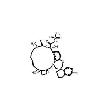 CN1CCC/C=C/[C@H](O)[C@@H]2CC[C@H]2CN2C[C@@]3(CCCc4cc(Cl)ccc43)COc3ccc(cc32)[C@](O)(C(=O)NS(C)(=O)=O)CC1=O